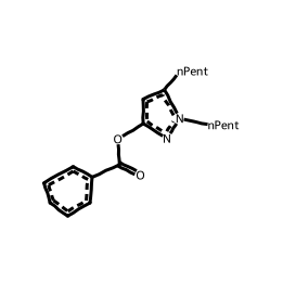 CCCCCc1cc(OC(=O)c2ccccc2)nn1CCCCC